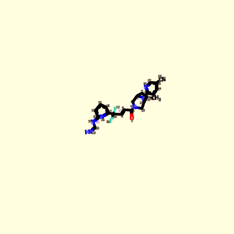 C[C@H]1CC2CN(C(=O)/C=C/C(F)(F)c3ccc/c(=N/C=N)[nH]3)CC1N2c1ccc(C#N)cn1